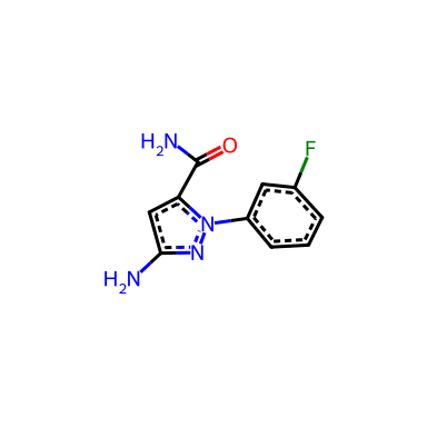 NC(=O)c1cc(N)nn1-c1cccc(F)c1